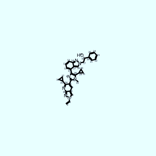 C=Cn1cc2cc(-c3nc(-c4cccc5nn(C[C@H](O)c6ccccc6)cc45)c(C4CC4)n3C)c(C3CC3)nc2n1